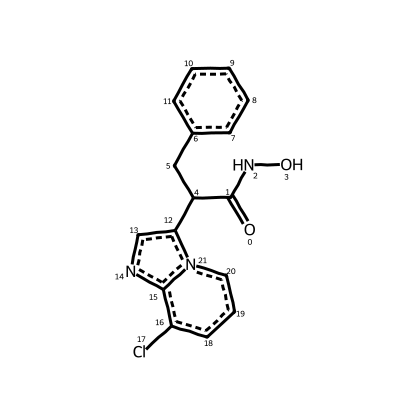 O=C(NO)C(Cc1ccccc1)c1cnc2c(Cl)cccn12